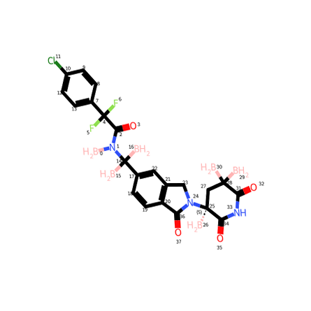 BN(C(=O)C(F)(F)c1ccc(Cl)cc1)C(B)(B)c1ccc2c(c1)CN([C@@]1(B)CC(B)(B)C(=O)NC1=O)C2=O